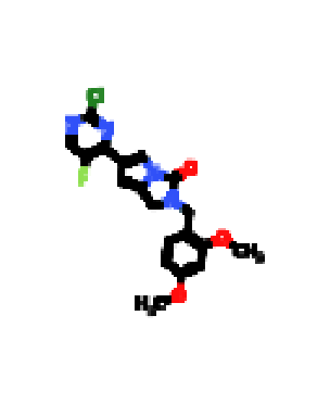 COc1ccc(CN2Cc3cc(-c4nc(Cl)ncc4F)cn3C2=O)c(OC)c1